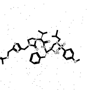 COc1ccc(S(=O)(=O)N(CC(C)C)C[C@@H](O)[C@H](Cc2ccccc2)NC(=O)[C@H](C(C)C)N2CCN(Cc3csc(COC(C)=O)n3)C2=O)cc1